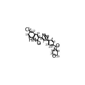 O=C(c1ccc(-n2cc(-c3cc4cc(Cl)ccc4[nH]c3=O)nn2)cc1)N1CCOCC1